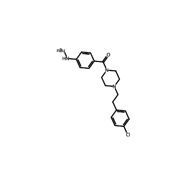 CCCCNc1ccc(C(=O)N2CCN(CCc3ccc(Cl)cc3)CC2)cc1